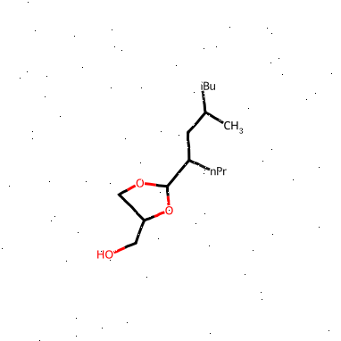 CCCC(CC(C)C(C)CC)C1OCC(CO)O1